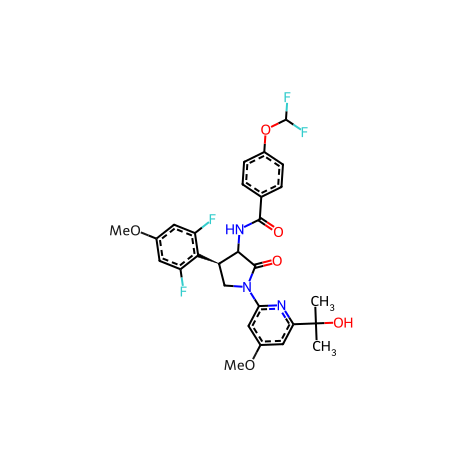 COc1cc(N2C[C@@H](c3c(F)cc(OC)cc3F)C(NC(=O)c3ccc(OC(F)F)cc3)C2=O)nc(C(C)(C)O)c1